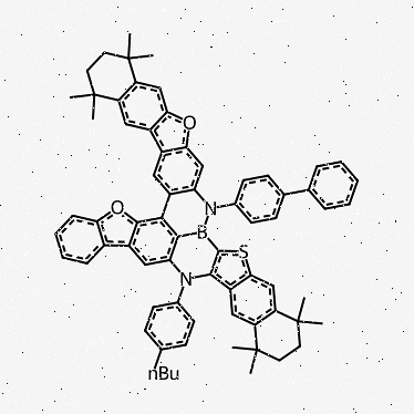 CCCCc1ccc(N2c3cc4c(oc5ccccc54)c4c3B(c3sc5cc6c(cc5c32)C(C)(C)CCC6(C)C)N(c2ccc(-c3ccccc3)cc2)c2cc3oc5cc6c(cc5c3cc2-4)C(C)(C)CCC6(C)C)cc1